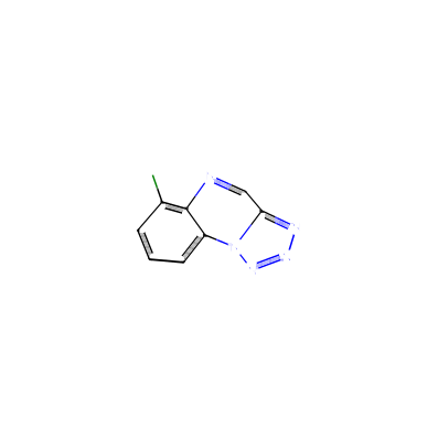 Fc1cccc2c1ncc1nnnn12